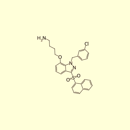 NCCCCOc1cccc2c(S(=O)(=O)c3cccc4ccccc34)nn(Cc3cccc(Cl)c3)c12